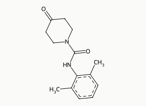 Cc1cccc(C)c1NC(=O)N1CCC(=O)CC1